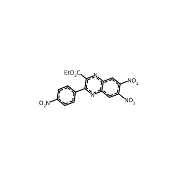 CCOC(=O)c1nc2cc([N+](=O)[O-])c([N+](=O)[O-])cc2nc1-c1ccc([N+](=O)[O-])cc1